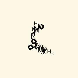 CS(=O)(=O)c1nc2nc(-c3ccc(CN4CC(c5n[nH]c(-c6ccccn6)n5)C4)cc3)c(-c3ccccc3)cn2n1